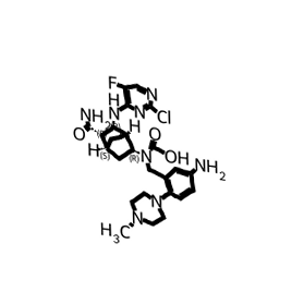 CN1CCN(c2ccc(N)cc2CN(C(=O)O)[C@@H]2C[C@@H]3C[C@@H]2[C@@H](Nc2nc(Cl)ncc2F)[C@H]3C(N)=O)CC1